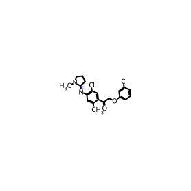 Cc1cc(/N=C2\CCCN2C)c(Cl)cc1C(=O)COc1cccc(Cl)c1